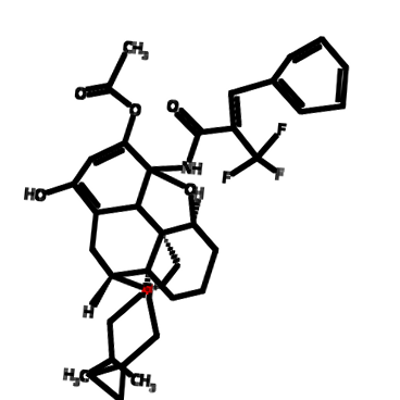 CC(=O)OC1=CC(O)=C2C[C@@H]3[C@@H]4CCC[C@@H]5OC1(NC(=O)C(=Cc1ccccc1)C(F)(F)F)C2[C@@]54CC[N+]3(CC(C)C)CC1CC1